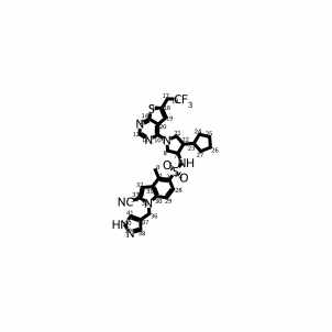 Cc1c(S(=O)(=O)NC2CN(c3ncnc4sc(CC(F)(F)F)cc34)CC2C2CCCC2)ccc2c1cc(C#N)n2Cc1cn[nH]c1